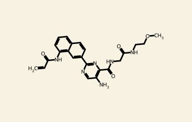 C=CC(=O)Nc1cccc2ccc(-c3ncc(N)c(C(=O)NCC(=O)NCCOC)n3)cc12